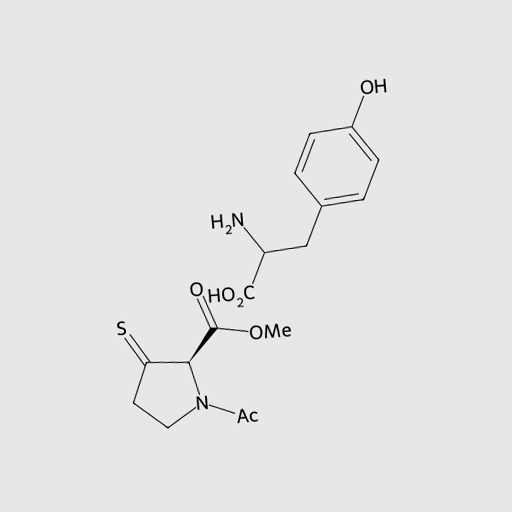 COC(=O)[C@@H]1C(=S)CCN1C(C)=O.NC(Cc1ccc(O)cc1)C(=O)O